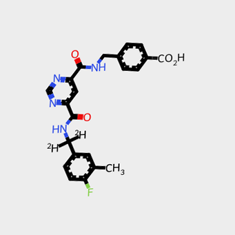 [2H]C([2H])(NC(=O)c1cc(C(=O)NCc2ccc(C(=O)O)cc2)ncn1)c1ccc(F)c(C)c1